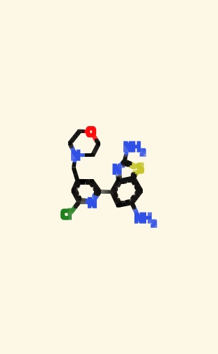 Nc1cc(-c2cc(CN3CCOCC3)cc(Cl)n2)c2nc(N)sc2c1